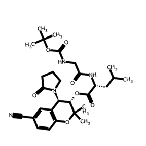 CC(C)C[C@@H](NC(=O)CNC(=O)OC(C)(C)C)C(=O)O[C@H]1[C@H](N2CCCC2=O)c2cc(C#N)ccc2OC1(C)C